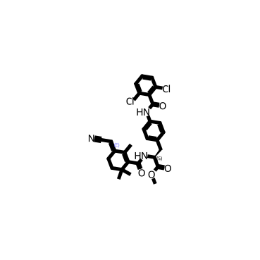 COC(=O)[C@H](Cc1ccc(NC(=O)c2c(Cl)cccc2Cl)cc1)NC(=O)C1=C(C)/C(=C/C#N)CCC1(C)C